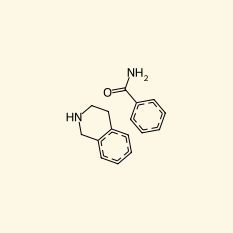 NC(=O)c1ccccc1.c1ccc2c(c1)CCNC2